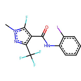 Cn1nc(C(F)(F)F)c(C(=O)Nc2ccccc2I)c1F